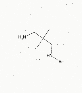 CC(=O)NCC(C)(C)CN